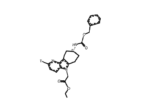 CCOC(=O)Cn1c2c(c3nc(F)ccc31)C[C@H](NC(=O)OCc1ccccc1)CC2